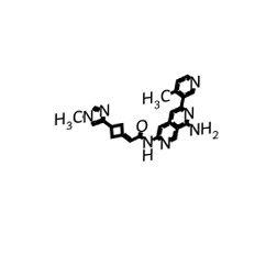 Cc1ccncc1-c1cc2cc(NC(=O)C=C3CC(c4cn(C)cn4)C3)ncc2c(N)n1